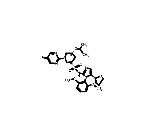 COc1cccc(OC)c1-n1c(NS(=O)(=O)[C@H]2C[C@@H](OC(C)C)CN(c3ncc(F)cn3)C2)nnc1[C@@H]1CCCO1